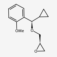 COc1ccccc1[C@H](OC[C@H]1CO1)C1CC1